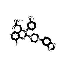 COC(=O)CC1c2cccc(F)c2N=C(N2CCN(c3ccc4c(c3)OCO4)CC2)N1c1cccc(C(F)(F)F)c1